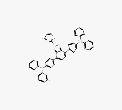 c1ccc(N(c2ccccc2)c2ccc(-c3ccc(-c4ccc(N(c5ccccc5)c5ccccc5)cc4)c4nn(-c5ncccn5)nc34)cc2)cc1